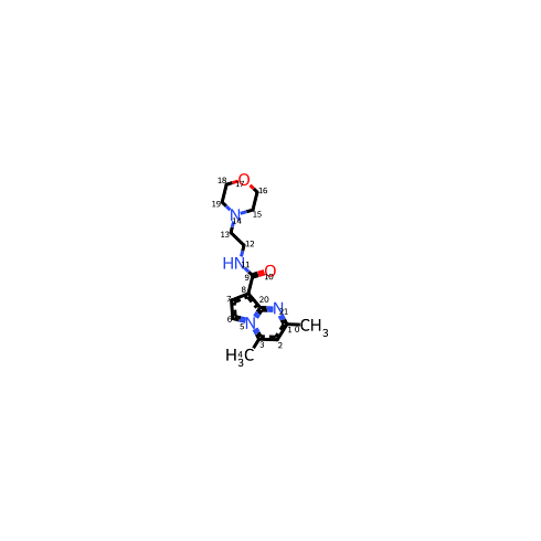 Cc1cc(C)n2ccc(C(=O)NCCN3CCOCC3)c2n1